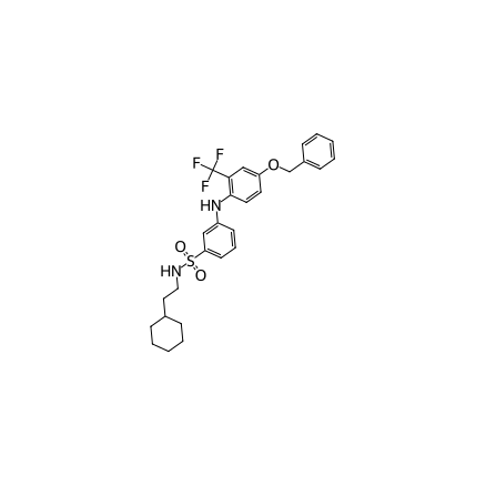 O=S(=O)(NCCC1CCCCC1)c1cccc(Nc2ccc(OCc3ccccc3)cc2C(F)(F)F)c1